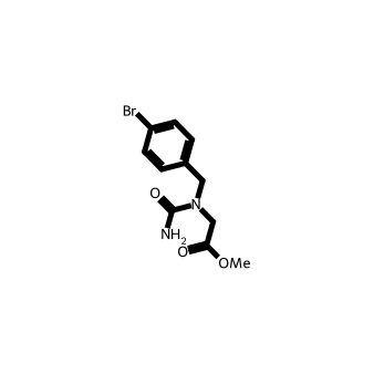 COC(=O)CN(Cc1ccc(Br)cc1)C(N)=O